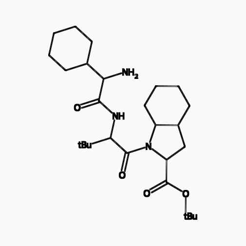 CC(C)(C)OC(=O)C1CC2CCCCC2N1C(=O)C(NC(=O)C(N)C1CCCCC1)C(C)(C)C